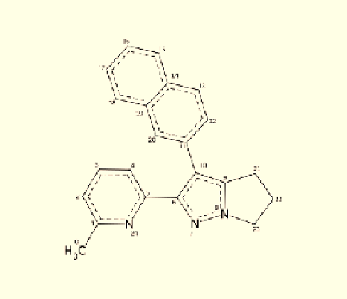 Cc1cccc(-c2nn3c(c2-c2ccc4ccccc4c2)CCC3)n1